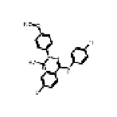 NC(=O)N(N=C(Nc1ccc(Cl)cc1)c1ccc(Cl)cc1)c1ccc(OC(F)(F)F)cc1